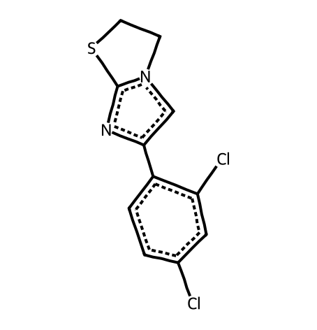 Clc1ccc(-c2cn3c(n2)SCC3)c(Cl)c1